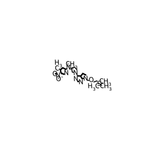 Cc1cc(N(C)[C@@H]2CCN(c3ncnc4c3ccn4COCC[Si](C)(C)C)C2)ncc1[N+](=O)[O-]